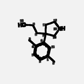 Cc1ccc(C)c(C2(CCO)CCNC2)c1